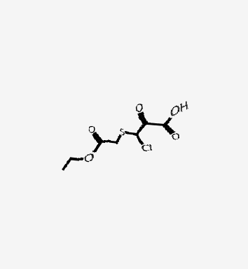 CCOC(=O)CSC(Cl)C(=O)C(=O)O